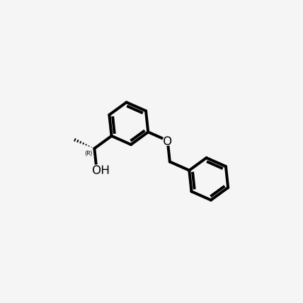 C[C@@H](O)c1cccc(OCc2ccccc2)c1